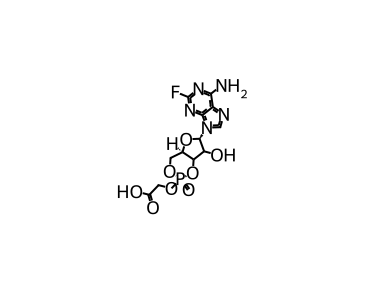 Nc1nc(F)nc2c1ncn2[C@@H]1O[C@@H]2COP(=O)(OCC(=O)O)OC2C1O